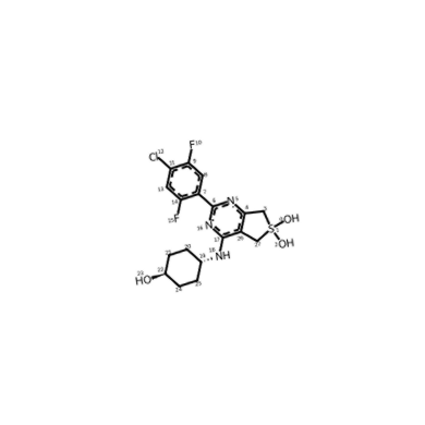 OS1(O)Cc2nc(-c3cc(F)c(Cl)cc3F)nc(N[C@H]3CC[C@H](O)CC3)c2C1